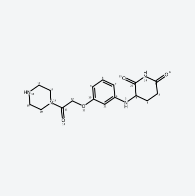 O=C1CCC(Nc2cccc(OCC(=O)N3CCNCC3)c2)C(=O)N1